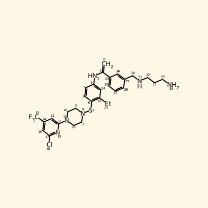 C=C(Nc1ccc(SN2CCN(c3cc(C(F)(F)F)cc(Cl)n3)CC2)c(CC)c1)c1cccc(CNCCCN)c1